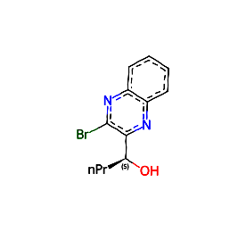 CCC[C@H](O)c1nc2ccccc2nc1Br